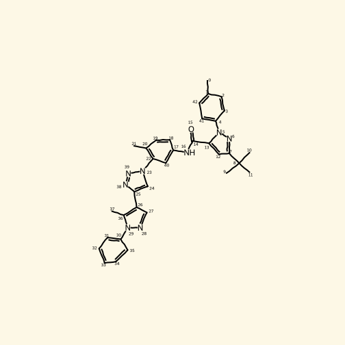 Cc1ccc(-n2nc(C(C)(C)C)cc2C(=O)Nc2ccc(C)c(-n3cc(-c4cnn(-c5ccccc5)c4C)nn3)c2)cc1